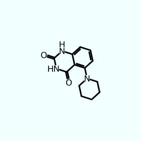 O=c1[nH]c(=O)c2c(N3CCCCC3)cccc2[nH]1